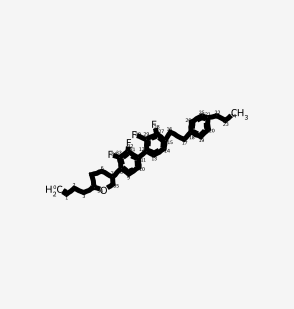 C=CCCC1CCC(c2ccc(-c3ccc(CCc4ccc(CCC)cc4)c(F)c3F)c(F)c2F)CO1